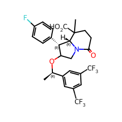 C[C@@H](OC1CN2C(=O)CCC(C)(C(=O)O)[C@H]2[C@H]1c1ccc(F)cc1)c1cc(C(F)(F)F)cc(C(F)(F)F)c1